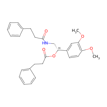 COc1ccc([C@@H](CNC(=O)CCc2ccccc2)OC(=O)CCc2ccccc2)cc1OC